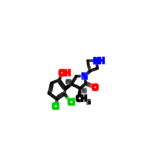 C[C@@H]1C(=O)N(C2CNC2)C[C@@H]1c1c(O)ccc(Cl)c1Cl